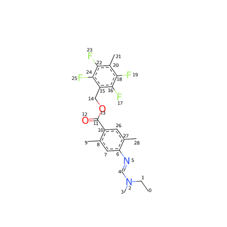 CCN(C)/C=N/c1cc(C)c(C(=O)OCc2c(F)c(F)c(C)c(F)c2F)cc1C